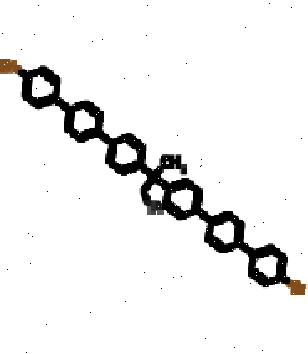 CC(C)CC(C)(c1ccc(-c2ccc(-c3ccc(Br)cc3)cc2)cc1)c1ccc(-c2ccc(-c3ccc(Br)cc3)cc2)cc1